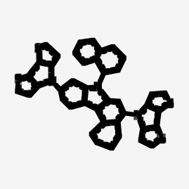 c1ccc2c(-n3c4cc(-n5c6ccsc6c6sccc65)ccc4c4c5ccccc5c(-n5c6ccsc6c6sccc65)cc43)cccc2c1